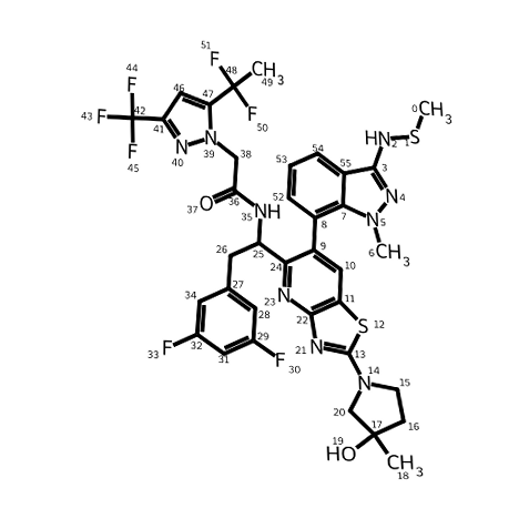 CSNc1nn(C)c2c(-c3cc4sc(N5CCC(C)(O)C5)nc4nc3C(Cc3cc(F)cc(F)c3)NC(=O)Cn3nc(C(F)(F)F)cc3C(C)(F)F)cccc12